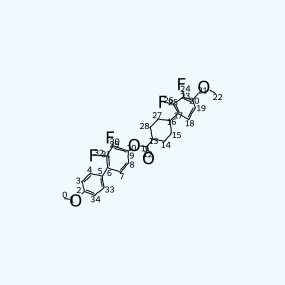 COc1ccc(-c2ccc(OC(=O)C3CCC(c4ccc(OC)c(F)c4F)CC3)c(F)c2F)cc1